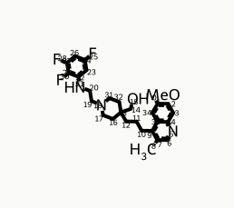 COc1ccc2ncc(C)c(CCCC3(CO)CCN(CCNc4cc(F)cc(F)c4F)CC3)c2c1